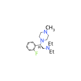 CCN(CC)C[C@@H](c1ccccc1F)N1CCN(C)CC1